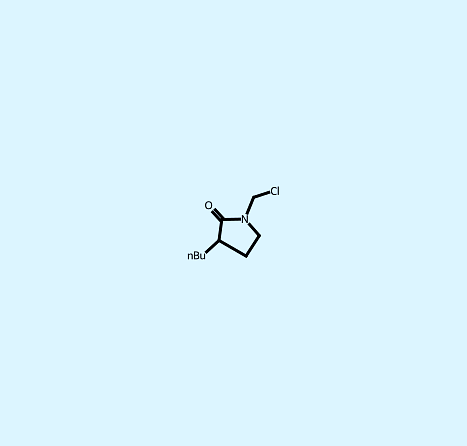 CCCCC1CCN(CCl)C1=O